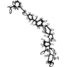 CC(=O)c1nccc(COc2ccc(C(C)(C)c3ccc(N4CCC5(CCN(c6ccc7c(c6)C(=O)N(C6CCC(=O)NC6=O)C7=O)C5)C4)cc3)cc2)n1